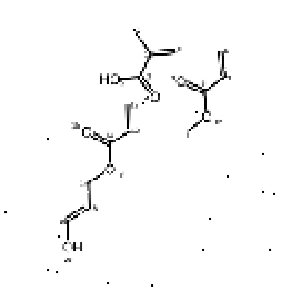 C=C(C)C(=O)O.C=CC(=O)OC.C=CC(=O)OCC=CO